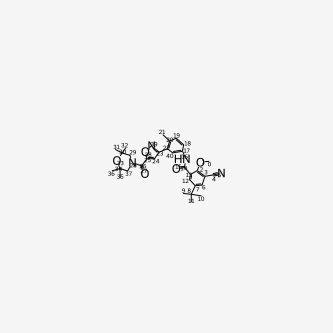 COc1c(C#N)cc(C(C)(C)C)cc1C(=O)Nc1ccc(C)c(-c2cc(C(=O)N3CC(C)(C)OC(C)(C)C3)on2)c1